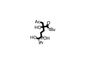 CC(=O)CC(O)(CC[C@@H](O)[C@@H](O)C(C)C)C(=O)C(C)(C)C